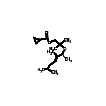 C/C(=C\CC(C)C)[C@@H](C)OC(C)(C)COC(=O)C1CC1